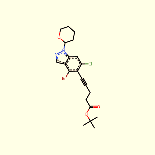 CC(C)(C)OC(=O)CCC#Cc1c(Cl)cc2c(cnn2C2CCCCO2)c1Br